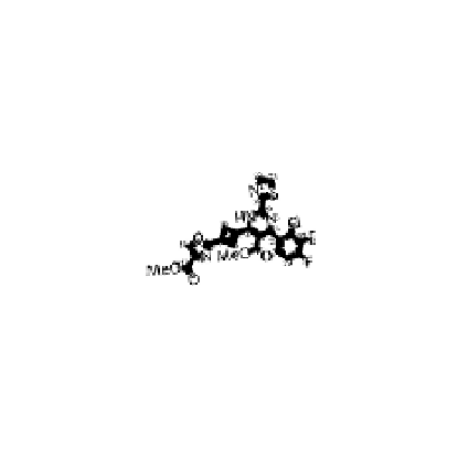 COC(=O)C1=C(C23CC(c4nc(C(=O)OC)co4)(C2)C3)NC(c2nccs2)=NC1c1ccc(F)c(F)c1Cl